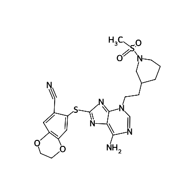 CS(=O)(=O)N1CCCC(CCn2cnc(N)c3nc(Sc4cc5c(cc4C#N)OCCO5)nc2-3)C1